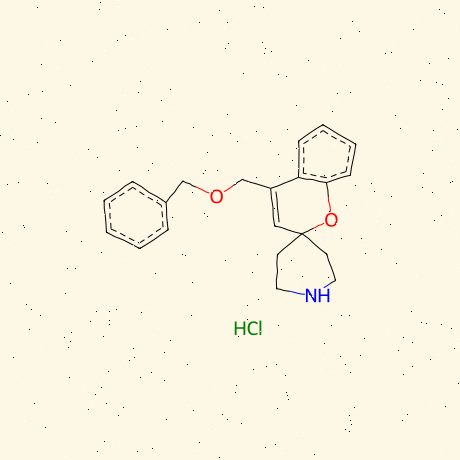 C1=C(COCc2ccccc2)c2ccccc2OC12CCNCC2.Cl